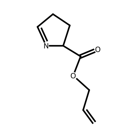 C=CCOC(=O)C1CCC=N1